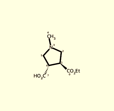 CCOC(=O)[C@@H]1CN(C)C[C@H]1C(=O)O